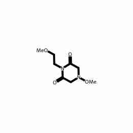 COCCN1C(=O)CN(OC)CC1=O